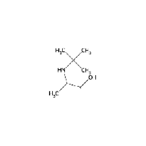 CC([CH]O)NC(C)(C)C